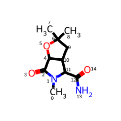 CN1C(=O)C2OC(C)(C)CC2C1C(N)=O